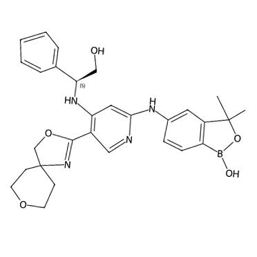 CC1(C)OB(O)c2ccc(Nc3cc(N[C@H](CO)c4ccccc4)c(C4=NC5(CCOCC5)CO4)cn3)cc21